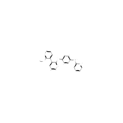 COc1ncccc1-c1cccnc1Oc1ccc(Nc2ccccn2)cc1